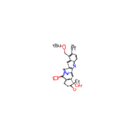 CC[C@@]1(O)C(=O)CCc2c1cc1n(c2=O)Cc2cc3c(COC(C)(C)C)c(C(C)C)ccc3nc2-1